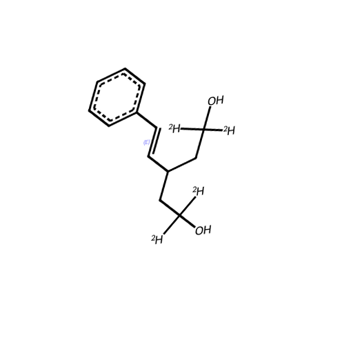 [2H]C([2H])(O)CC(/C=C/c1ccccc1)CC([2H])([2H])O